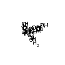 Cc1ccc(S(=O)(=O)N[C@@H](CCC(N)=O)C(=O)N[C@@H](Cc2ccc(O)cc2)C(=O)O)cc1